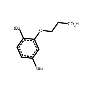 CC(C)(C)c1ccc(C(C)(C)C)c(OCCC(=O)O)c1